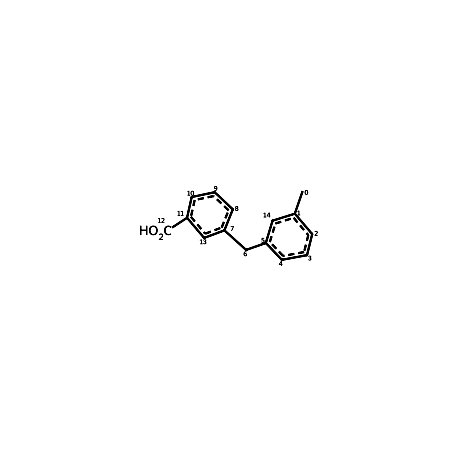 Cc1cccc(Cc2cccc(C(=O)O)c2)c1